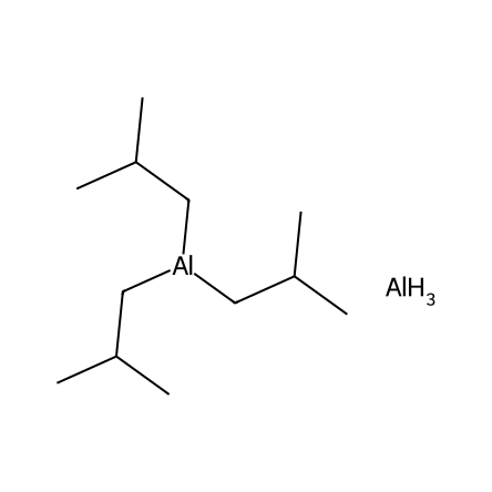 CC(C)[CH2][Al]([CH2]C(C)C)[CH2]C(C)C.[AlH3]